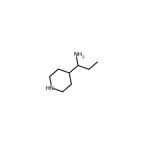 CCC(N)C1CCNCC1